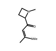 CN/C(C)=C\C(=O)C1CCN1C